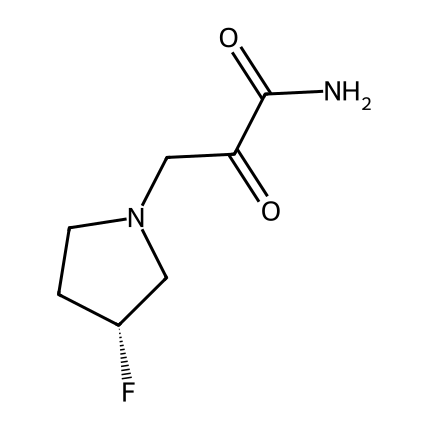 NC(=O)C(=O)CN1CC[C@@H](F)C1